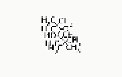 CC(C)(C)C(=O)C(O)C(C)(C)C(C)(C)C